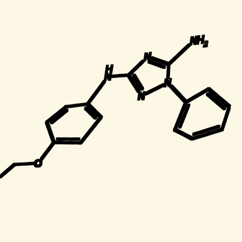 CCOc1ccc(Nc2nc(N)n(-c3ccccc3)n2)cc1